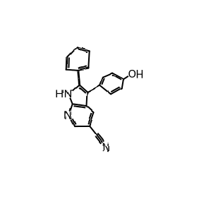 N#Cc1cnc2[nH]c(-c3ccccc3)c(-c3ccc(O)cc3)c2c1